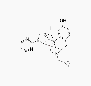 Oc1ccc2c(c1)C13CCN(CC4CC4)C(C2)C12CCC1C3[C@@H](CN1c1ncccn1)C2